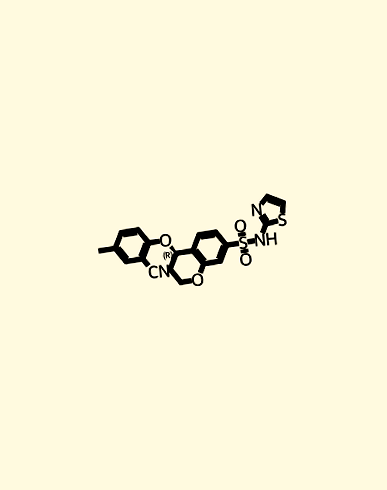 Cc1ccc(O[C@@H]2CCOc3cc(S(=O)(=O)Nc4nccs4)ccc32)c(C#N)c1